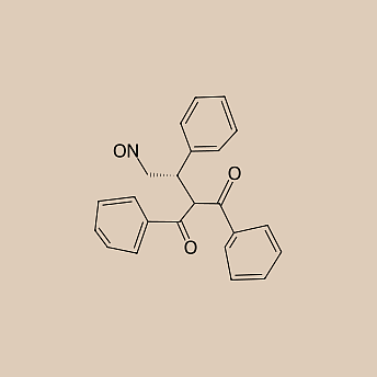 O=NC[C@H](c1ccccc1)C(C(=O)c1ccccc1)C(=O)c1ccccc1